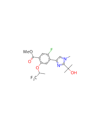 COC(=O)c1cc(F)c(-c2cn(C)c(C(C)(C)O)n2)cc1OC(C)C(F)(F)F